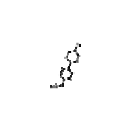 O=COc1ccc(C2CCC(O)CC2)cc1